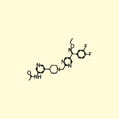 CCON=C(c1cnc(CN2CCC(c3cncc(NC(C)=O)c3)CC2)nc1)c1ccc(F)c(F)c1